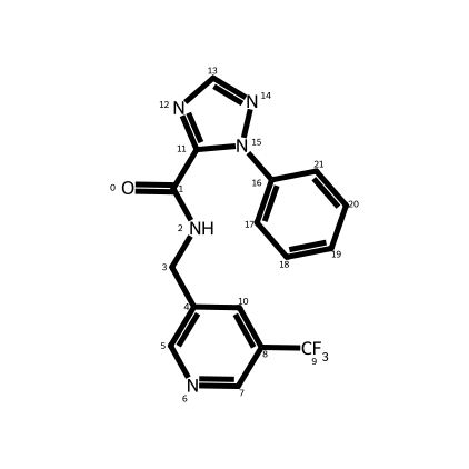 O=C(NCc1cncc(C(F)(F)F)c1)c1ncnn1-c1ccccc1